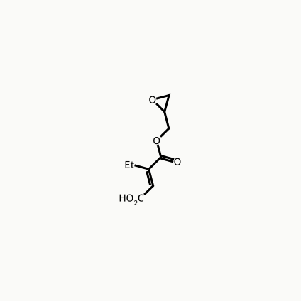 CC/C(=C\C(=O)O)C(=O)OCC1CO1